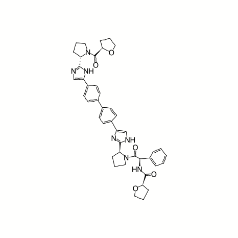 O=C(N[C@@H](C(=O)N1CCC[C@H]1c1nc(-c2ccc(-c3ccc(-c4cnc([C@@H]5CCCN5C(=O)[C@H]5CCCO5)[nH]4)cc3)cc2)c[nH]1)c1ccccc1)[C@H]1CCCO1